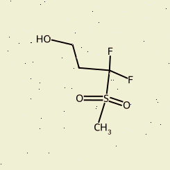 CS(=O)(=O)C(F)(F)CCO